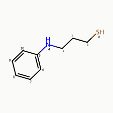 SCCCNc1cc[c]cc1